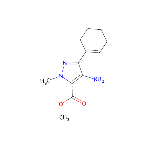 COC(=O)c1c(N)c(C2=CCCCC2)nn1C